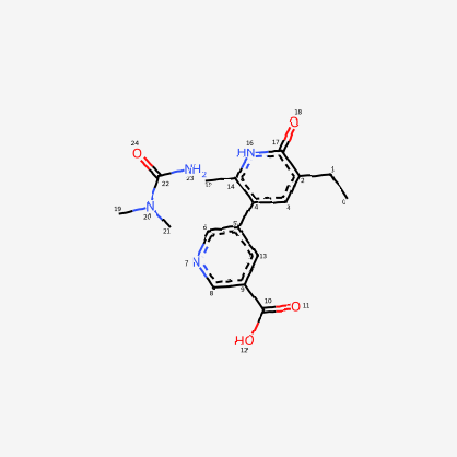 CCc1cc(-c2cncc(C(=O)O)c2)c(C)[nH]c1=O.CN(C)C(N)=O